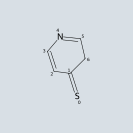 S=C1C=[C]N=CC1